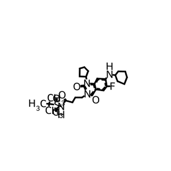 CC(C)(C)S(=O)(=O)NC(=O)CCCn1c(=O)c2cc(F)c(NC3CCCCC3)cc2n(C2CCCC2)c1=O